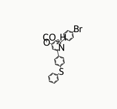 O=C(O)Oc1cc(-c2ccc(Br)cc2)nc(-c2ccc(Sc3ccccc3)cc2)c1